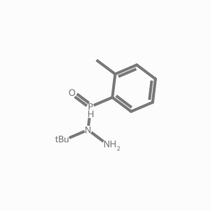 Cc1ccccc1[PH](=O)N(N)C(C)(C)C